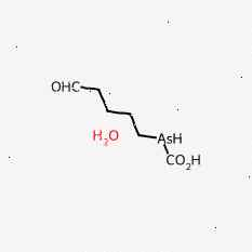 O.O=CCCCC[AsH]C(=O)O